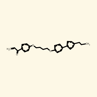 C=CC(=O)c1ccc(OCCCCOc2ccc(-c3ccc(CCC)cc3)cc2)cc1